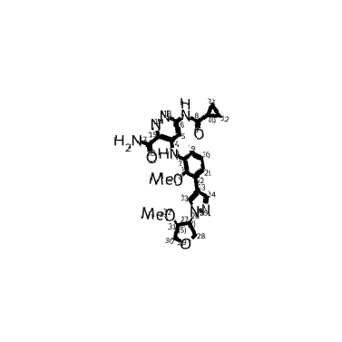 COc1c(Nc2cc(NC(=O)C3CC3)nnc2C(N)=O)cccc1-c1cnn([C@@H]2COC[C@H]2OC)c1